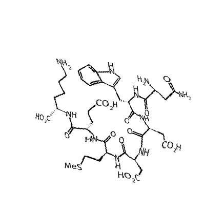 CSCC[C@H](NC(=O)[C@H](CC(=O)O)NC(=O)[C@H](CC(=O)O)NC(=O)[C@H](Cc1c[nH]c2ccccc12)NC(=O)[C@@H](N)CC(N)=O)C(=O)N[C@@H](CCC(=O)O)C(=O)N[C@@H](CCCCN)C(=O)O